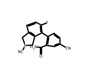 N#Cc1ccc(-c2c(F)ccc3c2CN(C#N)C3)c(C(N)=O)c1